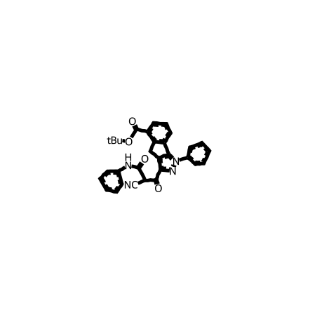 CC(C)(C)OC(=O)c1cccc2c1Cc1c(C(=O)C(C#N)C(=O)Nc3ccccc3)nn(-c3ccccc3)c1-2